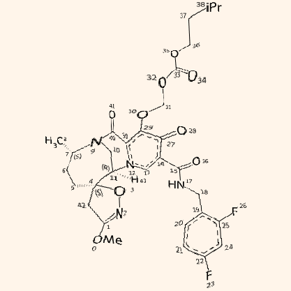 COC1=NO[C@@]2(CC[C@H](C)N3C[C@H]2n2cc(C(=O)NCc4ccc(F)cc4F)c(=O)c(OCOC(=O)OCCC(C)C)c2C3=O)C1